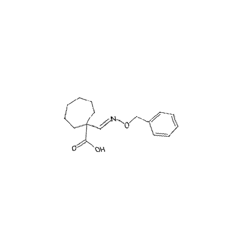 O=C(O)C1(C=NOCc2ccccc2)CCCCCC1